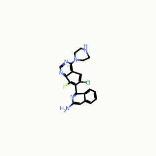 Nc1cc2ccccc2c(-c2c(Cl)cc3c(N4CCNCC4)ncnc3c2F)n1